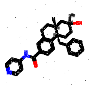 CCC[C@@]1(O)CC[C@@]2(Cc3ccccc3)c3ccc(C(=O)Nc4ccncc4)cc3CC[C@@H]2C1